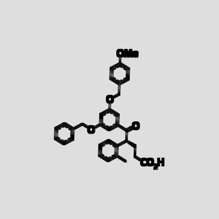 COc1ccc(COc2cc(OCc3ccccc3)cc(C(=O)[C@@H](CCC(=O)O)c3ccccc3C)c2)cc1